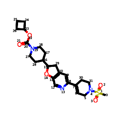 CS(=O)(=O)N1CC=C(c2cc3c(cn2)OC(C2CCN(C(=O)OC4CCC4)CC2)C3)CC1